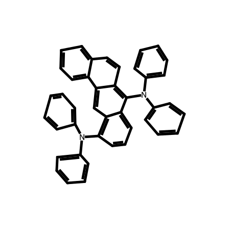 c1ccc(N(c2ccccc2)c2cccc3c(N(c4ccccc4)c4ccccc4)c4ccc5ccccc5c4cc23)cc1